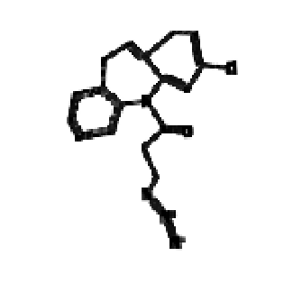 [N-]=[N+]=NCCC(=O)N1C2=CC(Cl)=CCC2=CCc2ccccc21